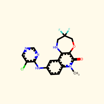 Cn1c(=O)c2c(c3cc(Nc4ncncc4Cl)ccc31)NCC(F)(F)CO2